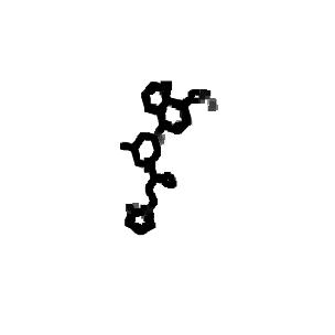 CC1C[C@@H](c2ccc(C(F)(F)F)c3ncccc23)CN(C(=O)CCn2cccn2)C1